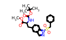 COC(=O)C(Cc1ccc2c(cnn2S(=O)(=O)Cc2ccccc2)c1)NC(=O)OC(C)(C)C